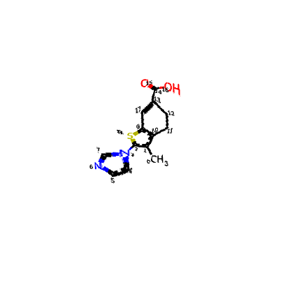 Cc1c(-n2ccnc2)sc2c1CCC(C(=O)O)=C2